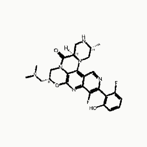 C[C@@H]1CN2c3c4c(nc5c(F)c(-c6c(O)cccc6F)ncc35)O[C@H](CN(C)C)CN4C(=O)[C@H]2CN1